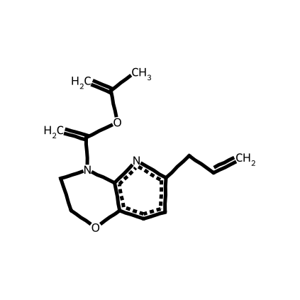 C=CCc1ccc2c(n1)N(C(=C)OC(=C)C)CCO2